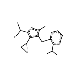 CC(C)c1ccccc1Cc1c(C2CC2)c(C(F)F)nn1C